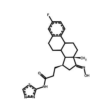 C[C@]12CCC3c4ccc(F)cc4CCC3C1[C@H](CCC(=O)Nc1nncs1)C/C2=N\O